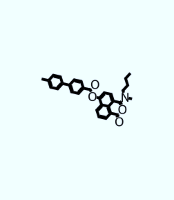 CCCCN(C)C(=O)c1ccc(OC(=O)c2ccc(-c3ccc(C)cc3)cc2)c2cccc(C=O)c12